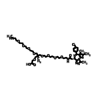 CNCCOCCOCCOCCOCC(C)(COCCOCCOCCOCCNC(=O)C[C@@H]1N=C(c2ccc(Cl)cc2)c2c(sc(C)c2C)-n2c(C)nnc21)COCC(=O)O